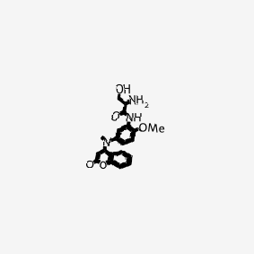 COc1ccc(N(C)c2cc(=O)oc3ccccc23)cc1NC(=O)C(N)CO